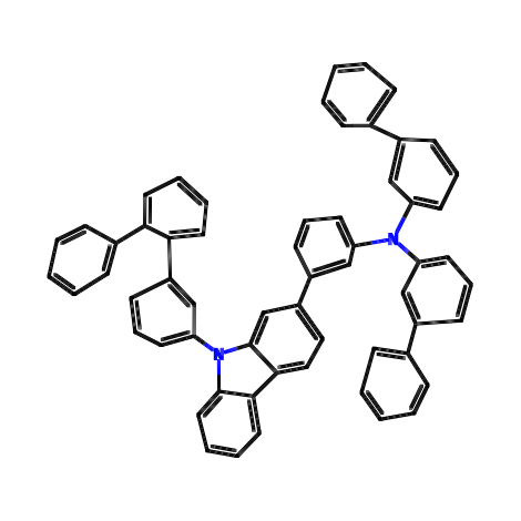 c1ccc(-c2cccc(N(c3cccc(-c4ccccc4)c3)c3cccc(-c4ccc5c6ccccc6n(-c6cccc(-c7ccccc7-c7ccccc7)c6)c5c4)c3)c2)cc1